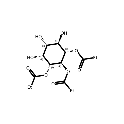 CCC(=O)O[C@H]1[C@H](OC(=O)CC)[C@H](O)[C@H](O)[C@@H](O)[C@@H]1OC(=O)CC